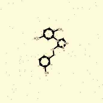 Cc1ccc(C)c(-n2cnnc2SCc2cccc(C#N)c2)c1